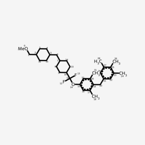 COCC1CCC(CC2CCC(C(F)(F)Oc3cc(C)c(Cc4cc(C)c(C)c(C)c4)c(C)c3)CC2)CC1